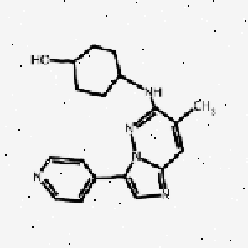 Cc1cc2ncc(-c3ccncc3)n2nc1NC1CCC(O)CC1